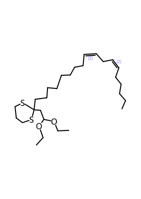 CCCCC/C=C\C/C=C\CCCCCCCCC1(CC(OCC)OCC)SCCCS1